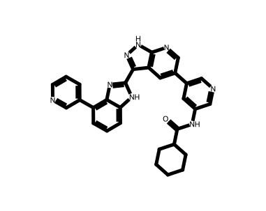 O=C(Nc1cncc(-c2cnc3[nH]nc(-c4nc5c(-c6cccnc6)cccc5[nH]4)c3c2)c1)C1CCCCC1